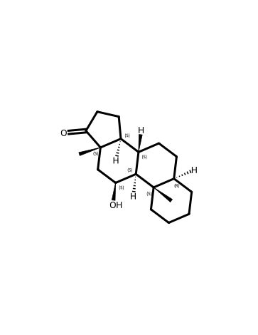 C[C@]12CCCC[C@@H]1CC[C@@H]1[C@@H]2[C@@H](O)C[C@]2(C)C(=O)CC[C@@H]12